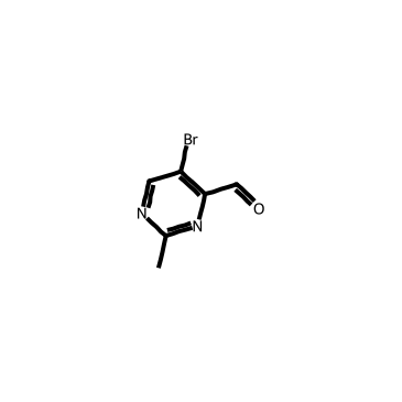 Cc1ncc(Br)c(C=O)n1